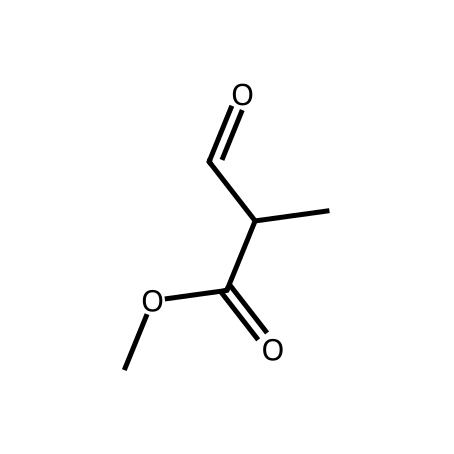 COC(=O)C(C)C=O